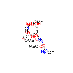 C#Cc1cccc(Nc2ncnc3cc(OCCOC)c(OCCN4CCN(C(=O)CCC[C@@H]5/C=C(\C)C[C@H](C)C[C@H](O)[C@H]6O[C@@](O)(C(=O)C(=O)N7CCCC[C@H]7C(=O)O[C@H](/C(C)=C/[C@@H]7CC[C@@H](O)[C@H](OC)C7)[C@H](C)[C@@H](O)CC5=O)[C@H](C)C[C@@H]6OC)CC4)cc23)c1